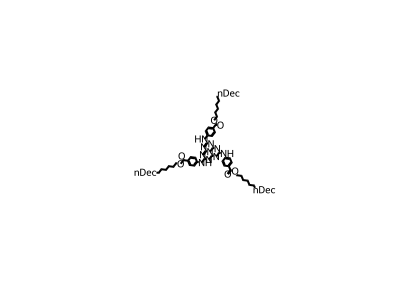 CCCCCCCCCCCCCCCCOC(=O)c1ccc(NC2=NC3=NC(Nc4ccc(C(=O)OCCCCCCCCCCCCCCCC)cc4)=NC4=NC(Nc5ccc(C(=O)OCCCCCCCCCCCCCCCC)cc5)=NC(=N2)N34)cc1